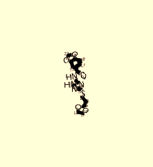 O=C(Nc1nc(SCCC2OC=CO2)n[nH]1)c1ccc2c(c1)OCO2